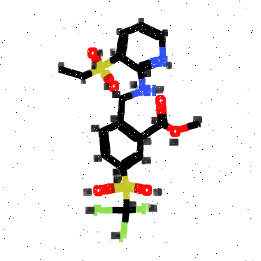 CCS(=O)(=O)c1cccnc1NCc1ccc(S(=O)(=O)C(F)(F)F)cc1C(=O)OC